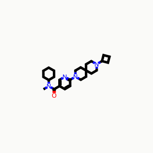 CN(C(=O)c1ccc(N2CCC3(CC2)CCN(C2CCC2)CC3)nc1)C1CCCCC1